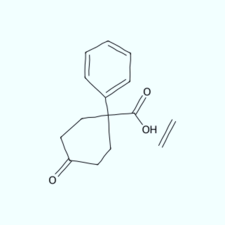 C=C.O=C1CCC(C(=O)O)(c2ccccc2)CC1